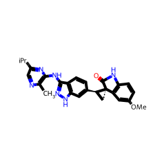 COc1ccc2c(c1)[C@]1(C[C@H]1c1ccc3c(Nc4nc(C(C)C)cnc4C)n[nH]c3c1)C(=O)N2